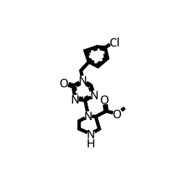 COC(=O)C1CNCCN1c1ncn(Cc2ccc(Cl)cc2)c(=O)n1